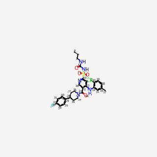 CCCNC(=O)NS(=O)(=O)c1cc(Nc2cc(C)ccc2Cl)c(C(=O)N2CCC(c3ccc(F)cc3)CC2)cn1